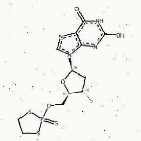 C[C@H]1C[C@H](n2cnc3c(=O)[nH]c(O)nc32)O[C@@H]1COP1(=S)SCCS1